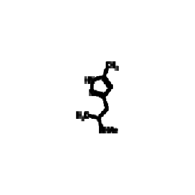 CC(=O)NC(C)Cc1cc(C)[nH]n1